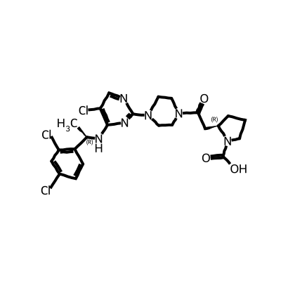 C[C@@H](Nc1nc(N2CCN(C(=O)C[C@H]3CCCN3C(=O)O)CC2)ncc1Cl)c1ccc(Cl)cc1Cl